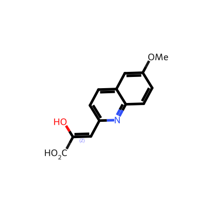 COc1ccc2nc(/C=C(\O)C(=O)O)ccc2c1